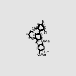 COC1=N[C@H](C(C)C)C(OC)=N[C@H]1Cc1ccc(-c2c(Cl)cc(F)cc2Cl)c2c1OCCCO2